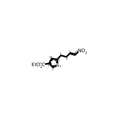 CCOC(=O)c1csc(CCC=C[N+](=O)[O-])c1